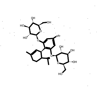 C=C(C)C1CCC(C)=C[C@H]1c1c(O[C@@H]2O[C@H](CO)[C@@H](O)[C@H](O)[C@H]2O)cc(CCC)cc1O[C@@H]1O[C@H](CO)[C@@H](O)[C@H](O)[C@H]1O